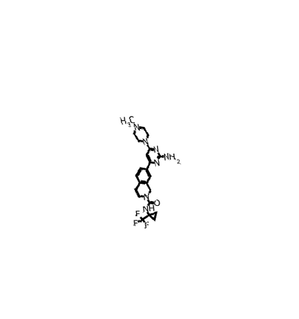 CN1CCN(c2cc(-c3ccc4c(c3)CN(C(=O)NC3(C(F)(F)F)CC3)CC4)nc(N)n2)CC1